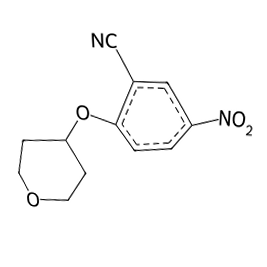 N#Cc1cc([N+](=O)[O-])ccc1OC1CCOCC1